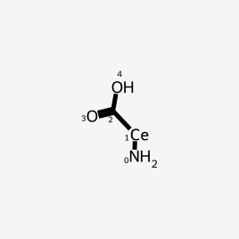 [NH2][Ce][C](=O)O